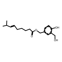 CC(C)/C=C/CCCCC(=O)OCc1ccc(O)c(CO)c1